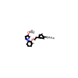 CCCCO[C@@H]1CCN([C@@H]2CCCC[C@H]2OCCc2ccc(OC)cc2)C1